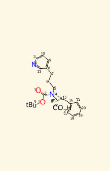 CC(C)(C)OC(=O)N(CCCc1cccnc1)[C@H](Cc1ccccc1)C(=O)O